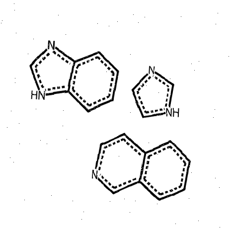 c1c[nH]cn1.c1ccc2[nH]cnc2c1.c1ccc2cnccc2c1